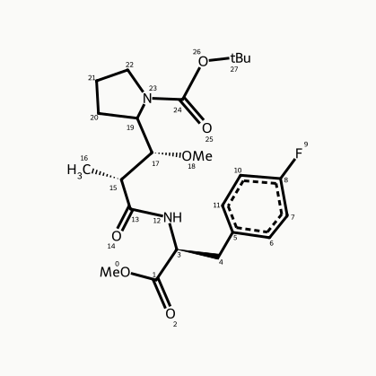 COC(=O)[C@H](Cc1ccc(F)cc1)NC(=O)[C@H](C)[C@@H](OC)C1CCCN1C(=O)OC(C)(C)C